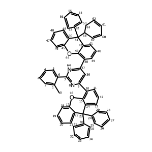 Cc1ccccc1-c1nc(-c2cccc3c2Oc2ccccc2C3(c2ccccc2)c2ccccc2)cc(-c2cccc3c2Oc2ccccc2C3(c2ccccc2)C2C=CC=CC2)n1